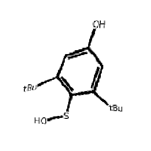 CC(C)(C)c1cc(O)cc(C(C)(C)C)c1SO